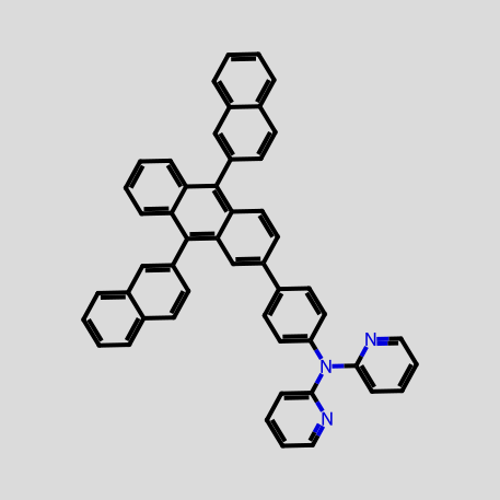 c1ccc(N(c2ccc(-c3ccc4c(-c5ccc6ccccc6c5)c5ccccc5c(-c5ccc6ccccc6c5)c4c3)cc2)c2ccccn2)nc1